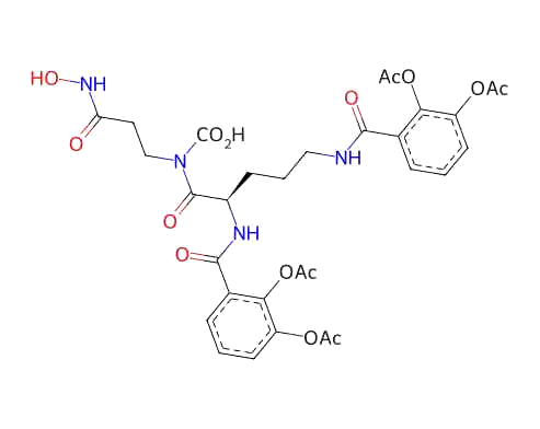 CC(=O)Oc1cccc(C(=O)NCCC[C@@H](NC(=O)c2cccc(OC(C)=O)c2OC(C)=O)C(=O)N(CCC(=O)NO)C(=O)O)c1OC(C)=O